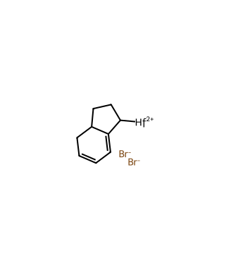 [Br-].[Br-].[Hf+2][CH]1CCC2CC=CC=C12